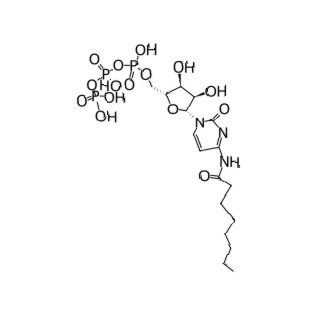 CCCCCCCC(=O)Nc1ccn([C@@H]2O[C@H](COP(=O)(O)OP(=O)(O)OP(=O)(O)O)[C@@H](O)[C@H]2O)c(=O)n1